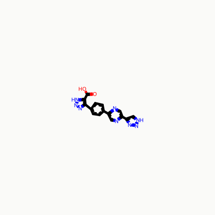 O=C(O)c1[nH]nnc1-c1ccc(-c2cnc(-c3c[nH]nn3)cn2)cc1